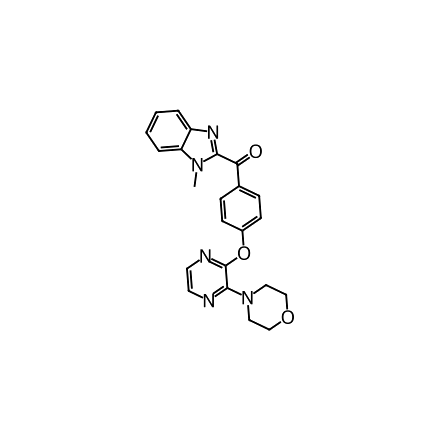 Cn1c(C(=O)c2ccc(Oc3nccnc3N3CCOCC3)cc2)nc2ccccc21